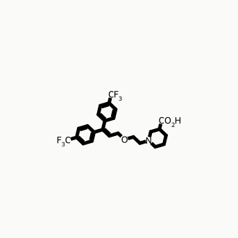 O=C(O)C1CCCN(CCOCC=C(c2ccc(C(F)(F)F)cc2)c2ccc(C(F)(F)F)cc2)C1